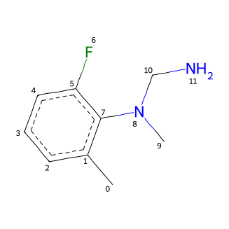 Cc1cccc(F)c1N(C)CN